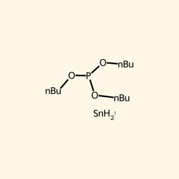 CCCCOP(OCCCC)OCCCC.[SnH2]